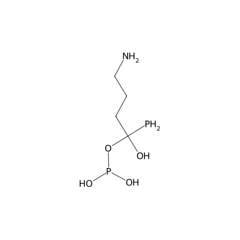 NCCCC(O)(P)OP(O)O